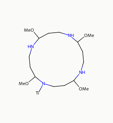 COC1CCNC(OC)CC[N]([Ti])C(OC)CCNC(OC)CCN1